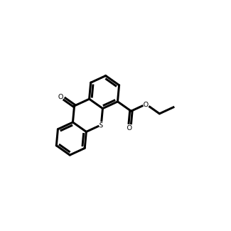 CCOC(=O)c1cccc2c(=O)c3ccccc3sc12